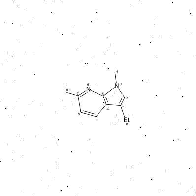 CCc1cn(C)c2nc(C)ccc12